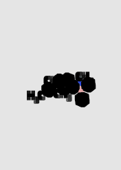 Cc1cc(C)c(-c2ccc3ccc4c5c(cc6ccc2c3c64)B(c2ccccc2)c2ccccc2N5C)c(C)c1